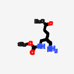 CC(C)COC(=O)CCC(CN)CNC(=O)OC(C)(C)C